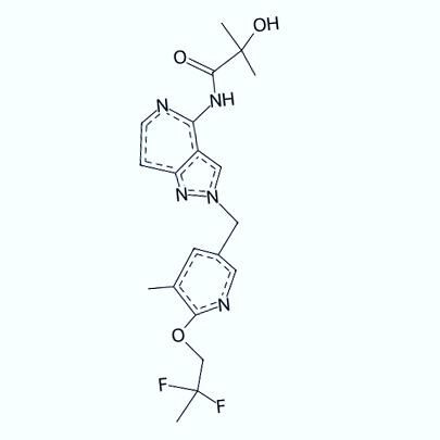 Cc1cc(Cn2cc3c(NC(=O)C(C)(C)O)nccc3n2)cnc1OCC(C)(F)F